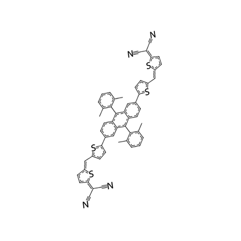 Cc1cccc(C)c1-c1c2ccc(-c3ccc(/C=c4/ccc(=C(C#N)C#N)s4)s3)cc2c(-c2c(C)cccc2C)c2ccc(-c3ccc(/C=c4/ccc(=C(C#N)C#N)s4)s3)cc12